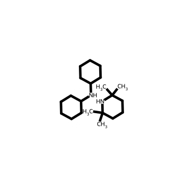 C1CCC(NC2CCCCC2)CC1.CC1(C)CCCC(C)(C)N1